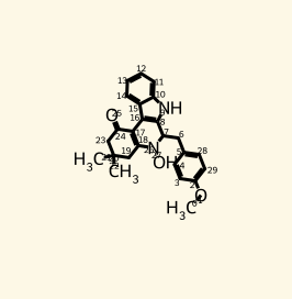 COc1ccc(CC2c3[nH]c4ccccc4c3C3=C(CC(C)(C)CC3=O)N2O)cc1